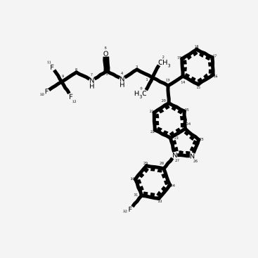 CC(C)(CNC(=O)NCC(F)(F)F)C(c1ccccc1)c1ccc2c(cnn2-c2ccc(F)cc2)c1